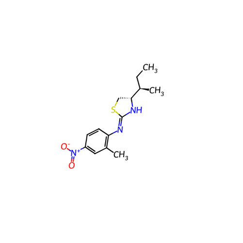 CC[C@@H](C)[C@H]1CSC(=Nc2ccc([N+](=O)[O-])cc2C)N1